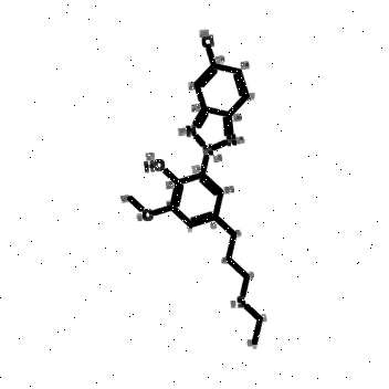 [CH2]CSCCCc1cc(OC)c(O)c(-n2nc3ccc(Cl)cc3n2)c1